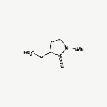 CC(=O)ON1CCC(CC(=O)O)C1=O